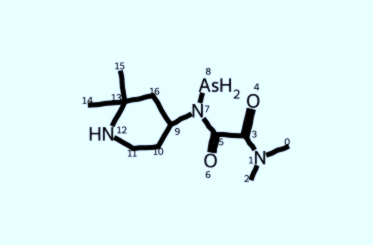 CN(C)C(=O)C(=O)N([AsH2])C1CCNC(C)(C)C1